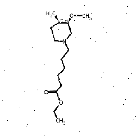 CCOC(=O)CCCCCN1CC[C@@H](C)[C@@H](OC)C1